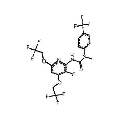 CN(C(=O)Nc1nc(OCC(F)(F)F)cc(OCC(F)(F)F)c1F)c1ccc(C(F)(F)F)cc1